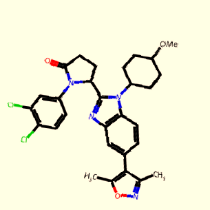 COC1CCC(n2c(C3CCC(=O)N3c3ccc(Cl)c(Cl)c3)nc3cc(-c4c(C)noc4C)ccc32)CC1